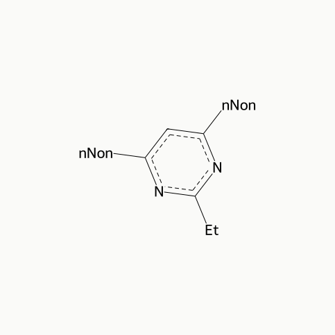 [CH2]Cc1nc(CCCCCCCCC)cc(CCCCCCCCC)n1